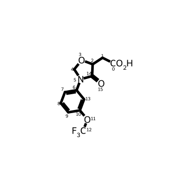 O=C(O)CC1OCN(c2cccc(OC(F)(F)F)c2)C1=O